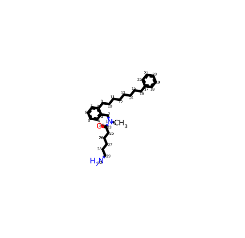 CN(Cc1ccccc1CCCCCCCCc1ccccc1)C(=O)CCCCCN